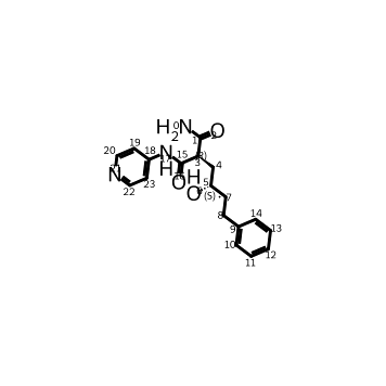 NC(=O)[C@@H](C[C@@H](O)[CH]Cc1ccccc1)C(=O)Nc1ccncc1